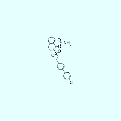 NC(=O)OC1c2ccccc2CCN1S(=O)(=O)CCc1ccc(-c2ccc(Cl)cc2)cc1